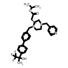 CC(C)OC(=O)C[C@H]1CN(Cc2ccncc2)CCN1Cc1ccc(-c2ccc(C(C)(O)C(F)(F)F)cc2)cc1